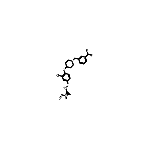 CS1(N=O)C=C1NSc1ccc(OC2CCN(Cc3cccc(C(F)F)c3)CC2)c(Cl)c1